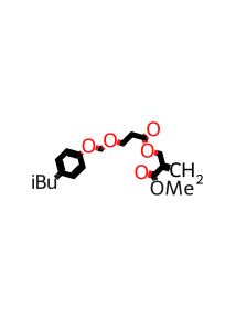 C=C(COC(=O)CCOCOc1ccc(C(C)CC)cc1)C(=O)OC